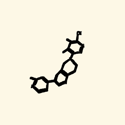 Cc1cc(-c2cnc3c(c2)CN(c2nnc(C#N)c(C)c2C)CC3)ccn1